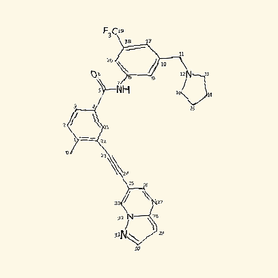 Cc1ccc(C(=O)Nc2cc(CN3CCCC3)cc(C(F)(F)F)c2)cc1C#Cc1cnc2ccnn2c1